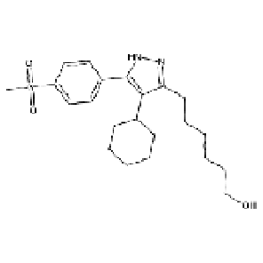 CS(=O)(=O)c1ccc(-c2[nH]nc(CCCCCCO)c2C2CCCCC2)cc1